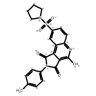 Cc1ccc(N2C(=O)c3c(C)nc4ccc(S(=O)(=O)N5CCCC5)cc4c3C2=O)cc1